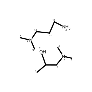 CC(O)CN(C)C.CN(C)CCCN